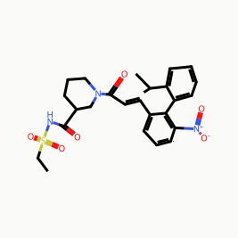 CCS(=O)(=O)NC(=O)C1CCCN(C(=O)/C=C/c2cc[c]c([N+](=O)[O-])c2-c2ccccc2C(C)C)C1